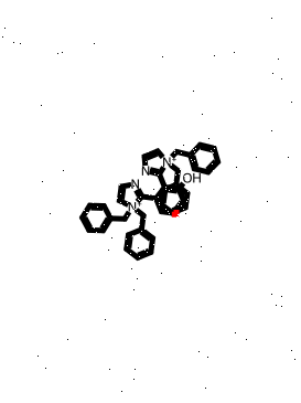 Oc1[c]ccc(C2=NC=C[N+]2(Cc2ccccc2)Cc2ccccc2)c1C1=NC=C[N+]1(Cc1ccccc1)Cc1ccccc1